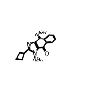 CCCCn1c(C2CCC2)nc2c1C(=O)c1ccccc1C2=NO